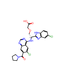 O=C(O)COC[C@@H](Nc1ncnc2cc(C(=O)N3CCCC3)c(Cl)cc12)c1nc2cc(Cl)ccc2[nH]1